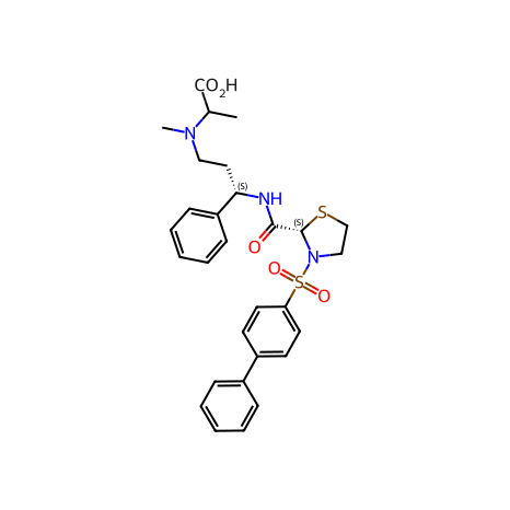 CC(C(=O)O)N(C)CC[C@H](NC(=O)[C@@H]1SCCN1S(=O)(=O)c1ccc(-c2ccccc2)cc1)c1ccccc1